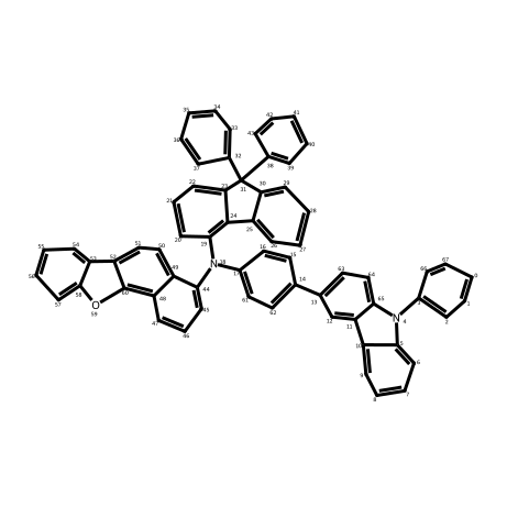 c1ccc(-n2c3ccccc3c3cc(-c4ccc(N(c5cccc6c5-c5ccccc5C6(c5ccccc5)c5ccccc5)c5cccc6c5ccc5c7ccccc7oc65)cc4)ccc32)cc1